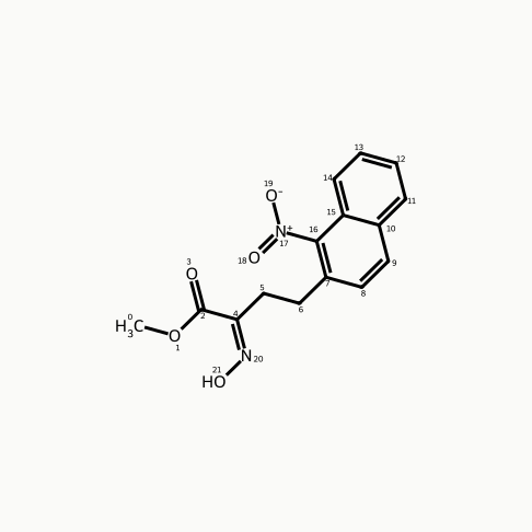 COC(=O)C(CCc1ccc2ccccc2c1[N+](=O)[O-])=NO